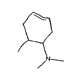 CC1CC=CCC1N(C)C